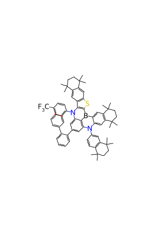 CC1(C)CCC(C)(C)c2cc(N3c4cc5c(cc4B4c6sc7cc8c(cc7c6N(c6ccc(C(F)(F)F)cc6)c6cc(-c7ccccc7-c7ccccc7)cc3c64)C(C)(C)CCC8(C)C)C(C)(C)CCC5(C)C)ccc21